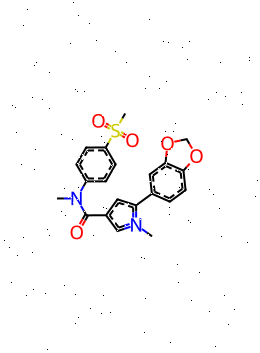 CN(C(=O)c1cc(-c2ccc3c(c2)OCO3)n(C)c1)c1ccc(S(C)(=O)=O)cc1